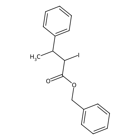 CC(c1ccccc1)C(I)C(=O)OCc1ccccc1